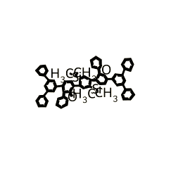 C[Si]1(C)c2cc3c(cc2-c2c1cc(-c1cc(-c4ccccc4)cc(-c4ccccc4)c1)c1c2oc2ccccc21)[Si](C)(C)c1cc(-c2cc(-c4ccccc4)cc(-c4ccccc4)c2)c2oc4ccccc4c2c1-3